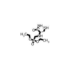 CCOP(=O)(CN[C@@H](CS)[S+](N)[O-])OCC